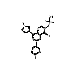 Cc1ccc(-c2cc3c(=O)n(CC(C)(C)O)cnc3c(-c3cnn(C)c3)n2)cn1